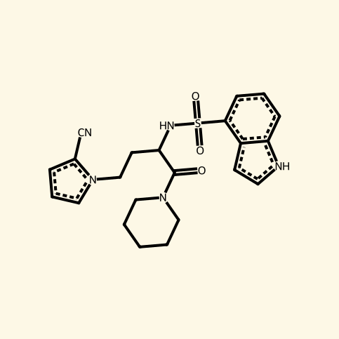 N#Cc1cccn1CCC(NS(=O)(=O)c1cccc2[nH]ccc12)C(=O)N1CCCCC1